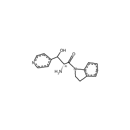 N[C@@H](C(=O)N1CCc2ccccc21)C(O)c1ccncc1